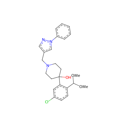 COC(OC)c1ccc(Cl)cc1C1(O)CCN(Cc2cnn(-c3ccccc3)c2)CC1